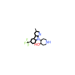 Cc1cnc2c(c1)c1cc(C(F)(F)F)ccc1n2[C@@H]1CCNCC[C@H]1O